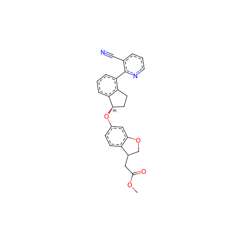 COC(=O)CC1COc2cc(O[C@@H]3CCc4c(-c5ncccc5C#N)cccc43)ccc21